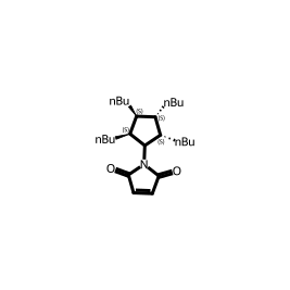 CCCC[C@H]1[C@H](CCCC)[C@H](CCCC)C(N2C(=O)C=CC2=O)[C@H]1CCCC